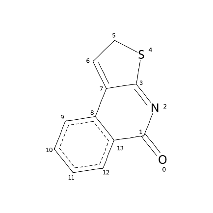 O=C1N=C2SCC=C2c2ccccc21